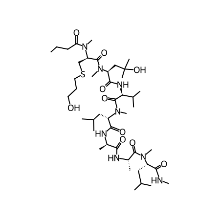 CCCC(=O)N(C)[C@H](CSCCCO)C(=O)N(C)[C@@H](CC(C)(C)O)C(=O)N[C@H](C(=O)N(C)[C@@H](CC(C)C)C(=O)N[C@H](C)C(=O)N[C@@H](C)C(=O)N(C)[C@@H](CC(C)C)C(=O)NC)C(C)C